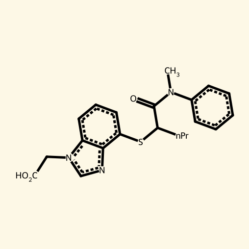 CCCC(Sc1cccc2c1ncn2CC(=O)O)C(=O)N(C)c1ccccc1